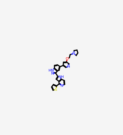 c1csc(-c2nccc3[nH]c(-c4n[nH]c5ccc(-c6cncc(OCCN7CCCC7)c6)cc45)cc23)c1